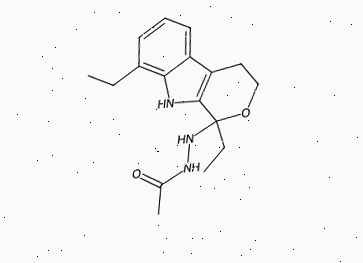 CCc1cccc2c3c([nH]c12)C(CC)(NNC(C)=O)OCC3